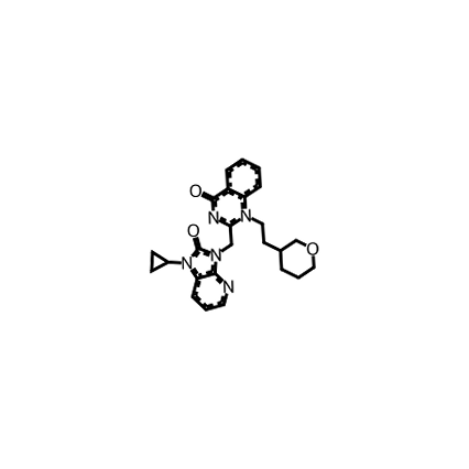 O=c1nc(Cn2c(=O)n(C3CC3)c3cccnc32)n(CCC2CCCOC2)c2ccccc12